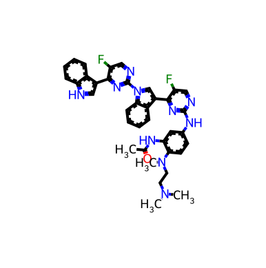 CC(=O)Nc1cc(Nc2ncc(F)c(-c3cn(-c4ncc(F)c(-c5c[nH]c6ccccc56)n4)c4ccccc34)n2)ccc1N(C)CCN(C)C